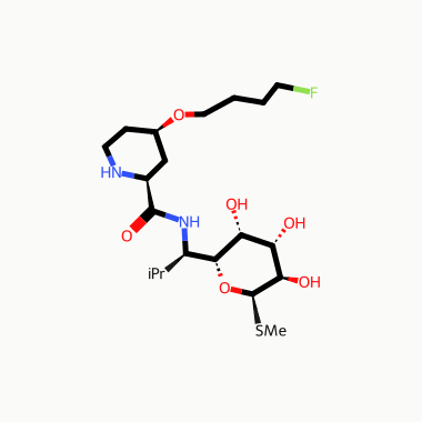 CS[C@H]1O[C@H]([C@H](NC(=O)[C@@H]2C[C@H](OCCCCF)CCN2)C(C)C)[C@H](O)[C@H](O)[C@H]1O